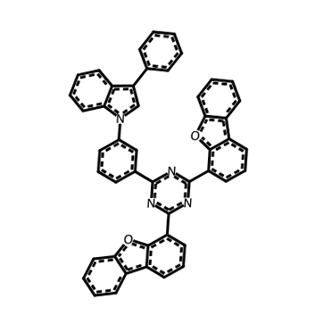 c1ccc(-c2cn(-c3cccc(-c4nc(-c5cccc6c5oc5ccccc56)nc(-c5cccc6c5oc5ccccc56)n4)c3)c3ccccc23)cc1